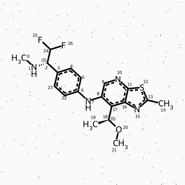 CN[C@@H](c1ccc(Nc2cnc3sc(C)nc3c2[C@H](C)OC)cc1)C(F)F